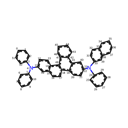 c1ccc(N(c2ccccc2)c2ccc3c(ccc4c5ccc(N(c6ccccc6)c6ccc7ccccc7c6)cc5c5ccccc5c34)c2)cc1